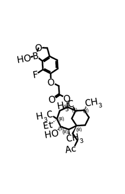 CC[C@]1(C)C[C@@H](OC(=O)COc2ccc3c(c2F)B(O)OC3)[C@@]2(C)C[C@](CCC(C)=O)(CC[C@H]2C)[C@@H](C)[C@@H]1O